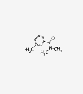 [CH2]c1cccc(C(=O)N(C)C)c1